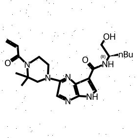 C=CC(=O)N1CCN(c2cnc3[nH]cc(C(=O)N[C@@H](CO)CCCC)c3n2)CC1(C)C